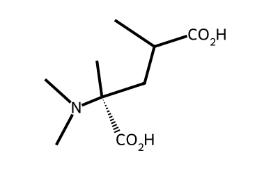 CC(C[C@@](C)(C(=O)O)N(C)C)C(=O)O